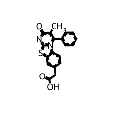 Cc1c(-c2ccccc2)n2c(nc1=O)sc1cc(CC(=O)O)ccc12